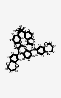 CC(C)(C)c1ccc2sc3c(c2c1)B1c2c(cccc2N(c2ccc4c(c2)OCCCO4)c2sc4ccc(C(C)(C)C)cc4c21)N3c1ccc2c(c1)OCCCO2